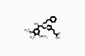 COc1cc(C(O)[C@H](CCCc2ccccc2)Cn2ccc(CCC(=O)O)c2)cc(OC)c1C